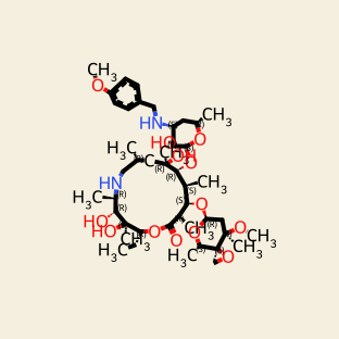 CC[C@H]1OC(=O)[C@H](C)[C@@H](O[C@H]2C[C@@](C)(OC)[C@]3(CO3)[C@H](C)O2)[C@H](C)[C@@H](O[C@@H]2O[C@H](C)C[C@H](NCc3ccc(OC)cc3)[C@H]2O)[C@](C)(O)C[C@@H](C)CN[C@H](C)[C@@H](O)[C@]1(C)O